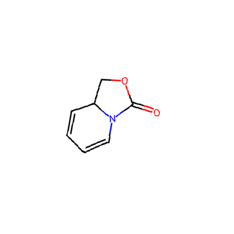 O=C1OCC2C=CC=CN12